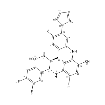 Cc1ncc(Nc2nc(N[C@H](c3ccc(F)c(F)c3)[C@H](C)NC(=O)O)c(F)cc2C#N)cc1-n1nccn1